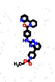 CCOC(=O)N1CC=C(c2cccn3nc(Nc4ccc(C(=O)N5CCCCC5c5cccnc5)cc4)nc23)CC1